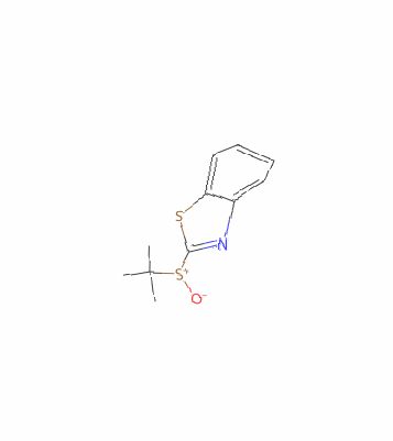 CC(C)(C)[S+]([O-])c1nc2ccccc2s1